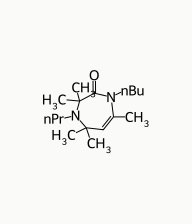 CCCCN1C(=O)C(C)(C)N(CCC)C(C)(C)C=C1C